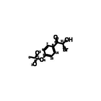 CS(=O)(=O)Oc1ccc(C(=O)C(O)Br)cc1